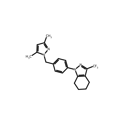 Cc1cc(C)n(Cc2ccc(-n3nc(C(F)(F)F)c4c3CCCC4)cc2)n1